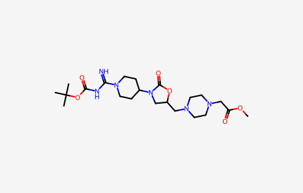 COC(=O)CN1CCN(CC2CN(C3CCN(C(=N)NC(=O)OC(C)(C)C)CC3)C(=O)O2)CC1